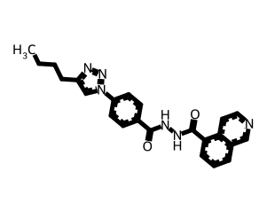 CCCCc1cn(-c2ccc(C(=O)NNC(=O)c3cccc4cnccc34)cc2)nn1